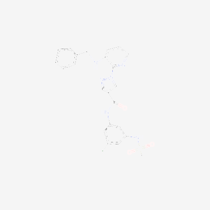 CS(=O)(=O)Nc1cc(Cl)cc(NC(=O)c2cnn(-c3ncccc3NCc3ccccc3)c2)c1